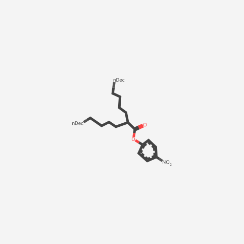 CCCCCCCCCCCCCCC(CCCCCCCCCCCCCC)C(=O)Oc1ccc([N+](=O)[O-])cc1